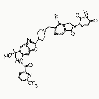 CC(C)(O)c1cc2nc(C3CCN(Cc4ccc5c(c4F)CN(C4CCC(=O)NC4=O)C5=O)CC3)oc2cc1NC(=O)c1cccc(C(F)(F)F)n1